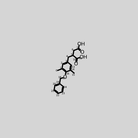 Cc1cc(CC(CC(=O)O)C(=O)O)cc(C)c1OCc1ccccc1